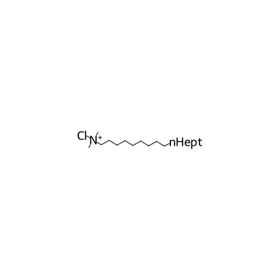 CCCCCCCCCCCCCCCC[N+](C)(C)Cl